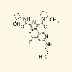 CCCNc1cc(C(F)F)c(-c2sc(C(=O)N[C@H]3CC[C@@H]3O)nc2C(=O)N2CCC[C@@H]2C)cn1